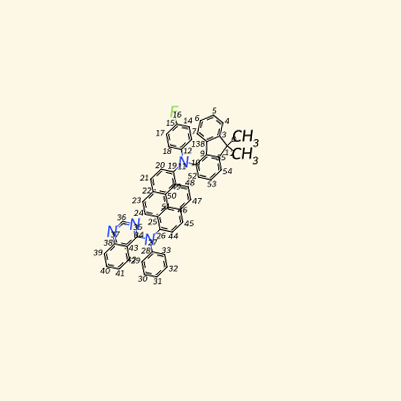 CC1(C)c2ccccc2-c2c(N(c3ccc(F)cc3)c3ccc4ccc5c(N(c6ccccc6)c6ncnc7ccccc67)ccc6ccc3c4c65)cccc21